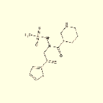 CS(=O)(=O)NN(CC(=O)c1cccs1)C(=O)C1CCCNC1